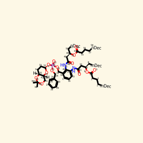 CCCCCCCCCCCCCC(=O)O[C@H](CCCCCCCCCCC)CC(=O)Nc1cccc(COP(=O)(OCc2ccccc2)O[C@@H]2CC[C@@H]3OC(C)(C)OC[C@H]3O2)c1NC(=O)C[C@@H](CCCCCCCCCCC)OC(=O)CCCCCCCCCCCCC